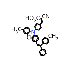 Cc1ccc(/C(=C\c2ccc(N(c3ccc(/C=C(/C#N)C(=O)O)cc3)c3ccc(C)cc3C)cc2)c2ccccc2)cc1